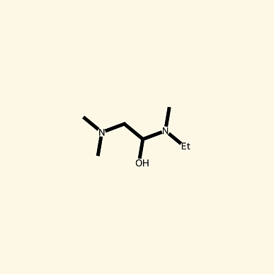 CCN(C)C(O)CN(C)C